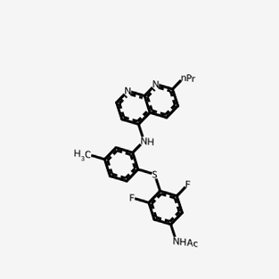 CCCc1ccc2c(Nc3cc(C)ccc3Sc3c(F)cc(NC(C)=O)cc3F)ccnc2n1